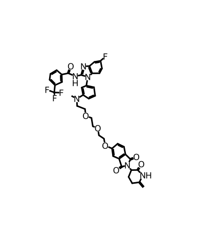 C=C1CCC(N2C(=O)c3ccc(OCCOCCOCCN(C)c4cccc(-n5c(NC(=O)c6cccc(C(F)(F)F)c6)nc6cc(F)ccc65)c4)cc3C2=O)C(=O)N1